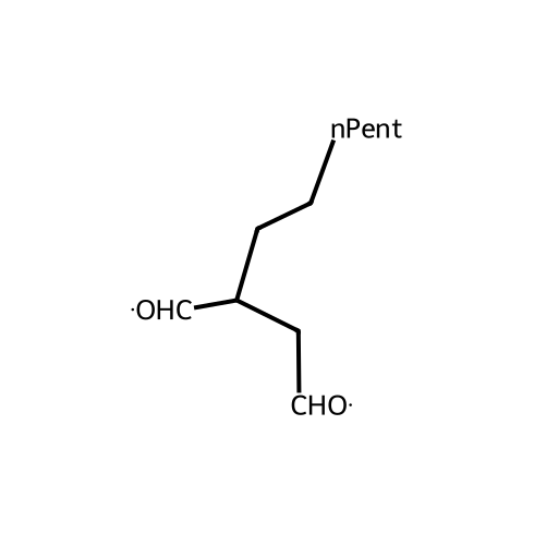 CCCCCCCC([C]=O)C[C]=O